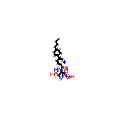 CCCCc1ccc(-c2ccc(C(=O)N[C@H](C(=O)NO)[C@@H](C)O)nc2)cc1